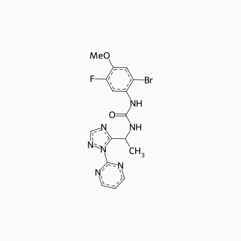 COc1cc(Br)c(NC(=O)NC(C)c2ncnn2-c2ncccn2)cc1F